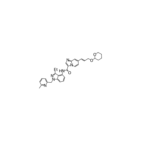 CCc1nn(Cc2cccc(C)n2)c2cccc(NC(=O)c3cnc4cc(/C=C/COC5CCCCO5)ccn34)c12